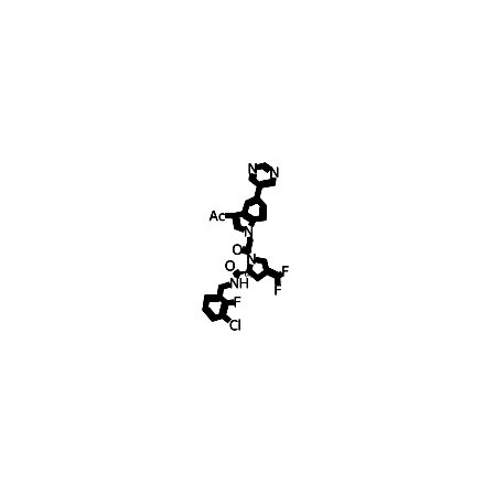 CC(=O)c1cn(CC(=O)N2CC(=C(F)F)C[C@H]2C(=O)NCc2cccc(Cl)c2F)c2ccc(-c3cncnc3)cc12